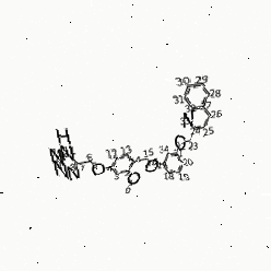 COc1cc(OCc2nnn[nH]2)ccc1COc1cccc(OCc2ccc3ccccc3n2)c1